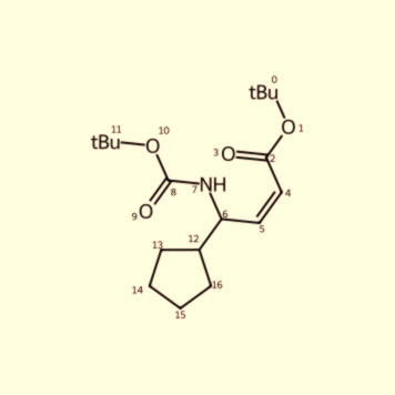 CC(C)(C)OC(=O)/C=C\C(NC(=O)OC(C)(C)C)C1CCCC1